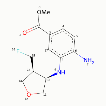 COC(=O)c1ccc(N)c(N[C@H]2COC[C@H]2CF)c1